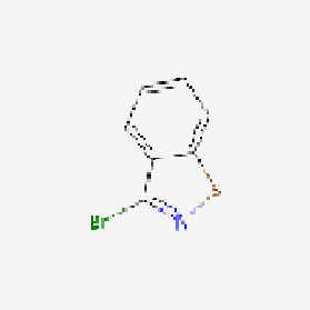 Brc1nsc2ccccc12